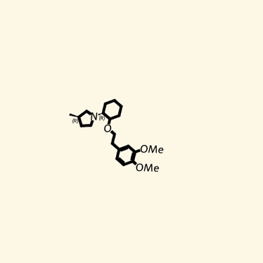 COc1ccc(CCOC2CCCC[C@H]2N2CC[C@@H](C)C2)cc1OC